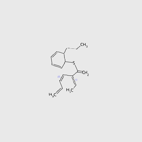 C=C/C=C\C(=C/C)C(=C)SC1C=CC=CC1CCC